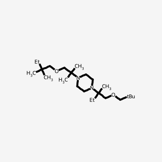 CCC(C)(C)COCC(C)(C)N1CCN(C(C)(CC)COCC(C)(C)C)CC1